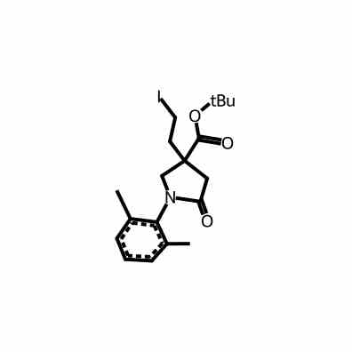 Cc1cccc(C)c1N1CC(CCI)(C(=O)OC(C)(C)C)CC1=O